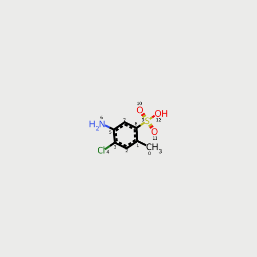 Cc1cc(Cl)c(N)cc1S(=O)(=O)O